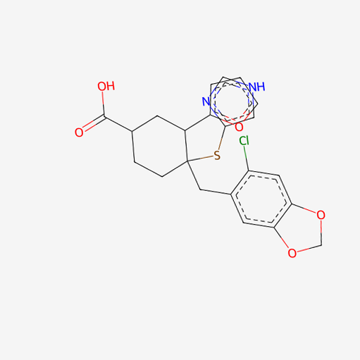 O=C(O)C1CCC(Cc2cc3c(cc2Cl)OCO3)(Sc2c[nH]cn2)C(c2ccco2)C1